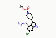 CC(C)(C)OC(=O)N1CCC(c2c[nH]c3cc(Br)cc(CN)c23)CC1